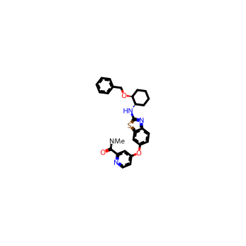 CNC(=O)c1cc(Oc2ccc3nc(N[C@H]4CCCC[C@@H]4OCc4ccccc4)sc3c2)ccn1